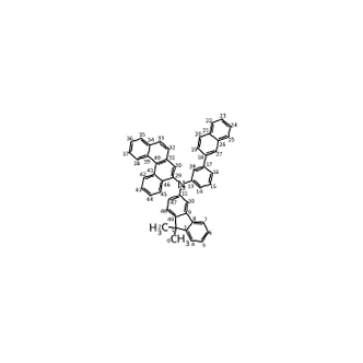 CC1(C)c2ccccc2-c2cc(N(c3cccc(-c4ccc5ccccc5c4)c3)c3cc4ccc5ccccc5c4c4ccccc34)ccc21